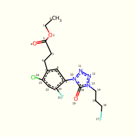 CCOC(=O)CCc1cc(-n2nnn(CCCF)c2=O)c(F)cc1Cl